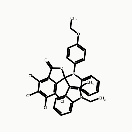 CCOc1ccc(N(c2ccccc2)C2(c3c(C)n(CC)c4ccccc34)OC(=O)c3c(Cl)c(Cl)c(Cl)c(Cl)c32)cc1